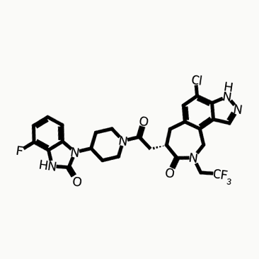 O=C(C[C@@H]1Cc2cc(Cl)c3[nH]ncc3c2CN(CC(F)(F)F)C1=O)N1CCC(n2c(=O)[nH]c3c(F)cccc32)CC1